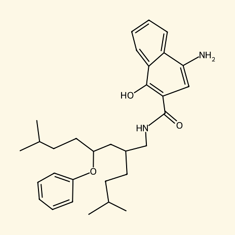 CC(C)CCC(CNC(=O)c1cc(N)c2ccccc2c1O)CC(CCC(C)C)Oc1ccccc1